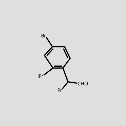 CC(C)c1cc(Br)ccc1C(C=O)C(C)C